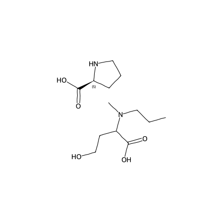 CCCN(C)C(CCO)C(=O)O.O=C(O)[C@@H]1CCCN1